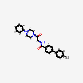 CCc1ccc(-c2ccc(C(=O)NCC(=O)N3CCN(c4ccccc4)CC3)cc2)cc1